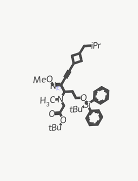 CO/N=C(\C#CC1CC(CC(C)C)C1)C(CCO[Si](c1ccccc1)(c1ccccc1)C(C)(C)C)N(C)CC(=O)OC(C)(C)C